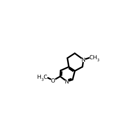 COc1cc2c(cn1)CN(C)CC2